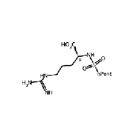 CCCCCS(=O)(=O)N[C@@H](CCCNC(=N)N)C(=O)O